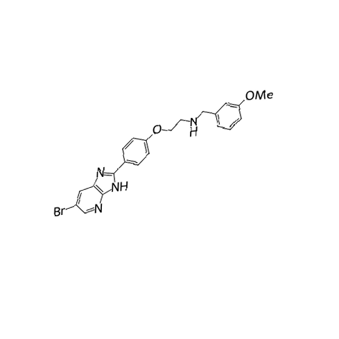 COc1cccc(CNCCOc2ccc(-c3nc4cc(Br)cnc4[nH]3)cc2)c1